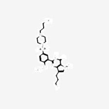 CCCOc1ccc(S(=O)(=O)N2CCN(CCCO)CC2)cc1-c1nc2c(CCCF)cn(CC)c2c(=O)[nH]1